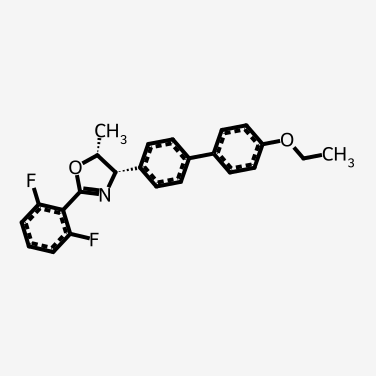 CCOc1ccc(-c2ccc([C@@H]3N=C(c4c(F)cccc4F)O[C@@H]3C)cc2)cc1